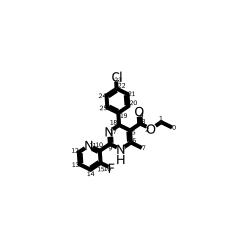 CCOC(=O)C1=C(C)NC(c2ncccc2F)=NC1c1ccc(Cl)cc1